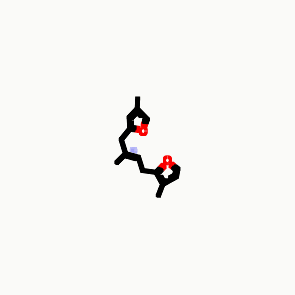 C/C(=C\Cc1occc1C)Cc1cc(C)co1